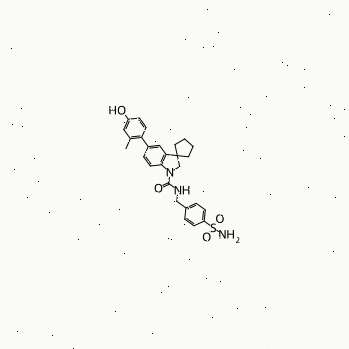 Cc1cc(O)ccc1-c1ccc2c(c1)C1(CCCC1)CN2C(=O)NCc1ccc(S(N)(=O)=O)cc1